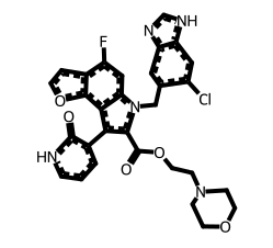 O=C(OCCN1CCOCC1)c1c(-c2ccc[nH]c2=O)c2c3occc3c(F)cc2n1Cc1cc2nc[nH]c2cc1Cl